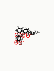 [Fe+3].[Fe+3].[O-]c1ccccc1[O-].[O-]c1ccccc1[O-].[O-]c1ccccc1[O-]